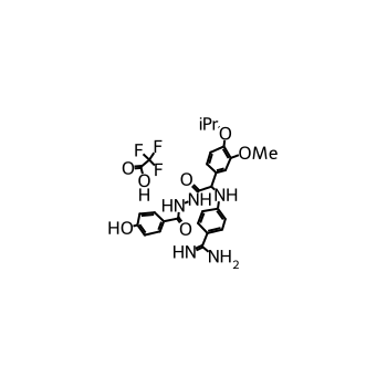 COc1cc(C(Nc2ccc(C(=N)N)cc2)C(=O)NNC(=O)c2ccc(O)cc2)ccc1OC(C)C.O=C(O)C(F)(F)F